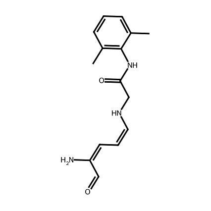 Cc1cccc(C)c1NC(=O)CN/C=C\C=C(\N)C=O